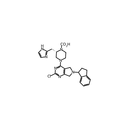 O=C(O)N1CCN(c2nc(Cl)nc3c2CN(C2CCc4ccccc42)C3)C[C@@H]1Cc1ncc[nH]1